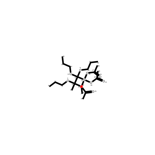 CCCOC(C)(OC)C(OCCC)(OCCC)[Si](OC(C)=O)(OC(C)=O)OC(C)=O